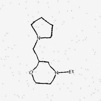 CCN1CCOC(CN2CCCC2)C1